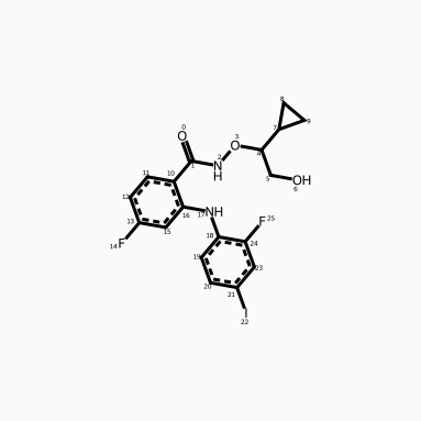 O=C(NOC(CO)C1CC1)c1ccc(F)cc1Nc1ccc(I)cc1F